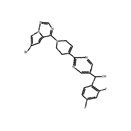 OC(c1cnc(C2=CCN(c3ncnn4cc(Br)cc34)CC2)nc1)c1ccc(F)cc1F